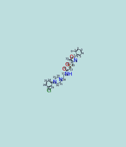 Cc1ccccc1-c1nc(C[S+]([O-])CC(=O)NCCN2CCN(c3cccc(Cl)c3)CC2)c(C)o1